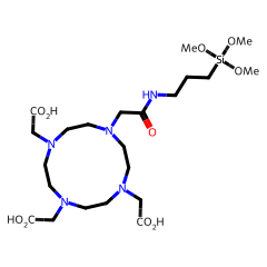 CO[Si](CCCNC(=O)CN1CCN(CC(=O)O)CCN(CC(=O)O)CCN(CC(=O)O)CC1)(OC)OC